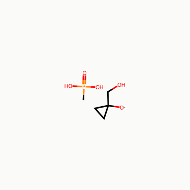 CP(=O)(O)O.[O]C1(CO)CC1